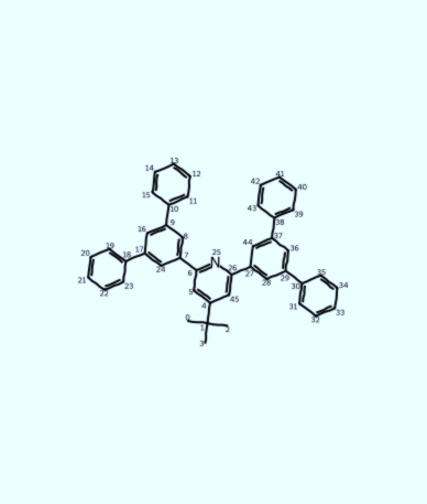 CC(C)(C)c1cc(-c2cc(-c3ccccc3)cc(-c3ccccc3)c2)nc(-c2cc(-c3ccccc3)cc(-c3ccccc3)c2)c1